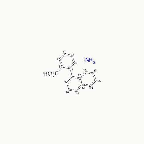 N.O=C(O)c1ccccc1-c1cccc2ccccc12